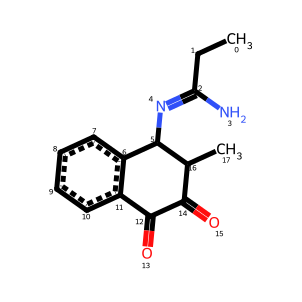 CC/C(N)=N/C1c2ccccc2C(=O)C(=O)C1C